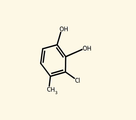 Cc1ccc(O)c(O)c1Cl